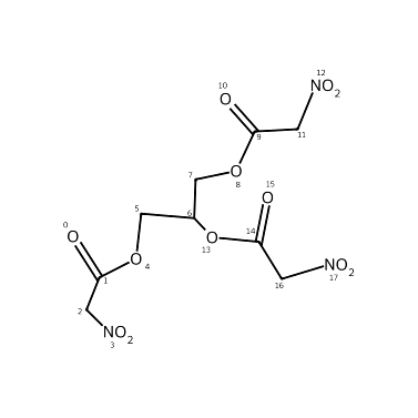 O=C(C[N+](=O)[O-])OCC(COC(=O)C[N+](=O)[O-])OC(=O)C[N+](=O)[O-]